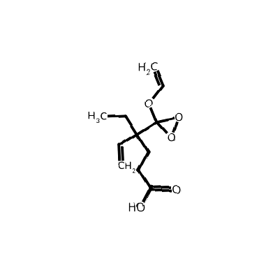 C=COC1(C(C=C)(CC)CCC(=O)O)OO1